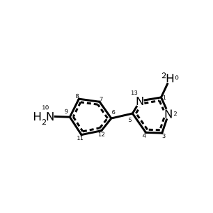 [2H]c1nccc(-c2ccc(N)cc2)n1